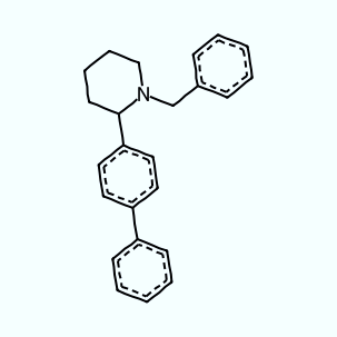 c1ccc(CN2CCCCC2c2ccc(-c3ccccc3)cc2)cc1